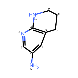 Nc1cnc2c(c1)CCCN2